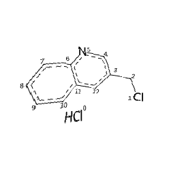 Cl.ClCc1cnc2ccccc2c1